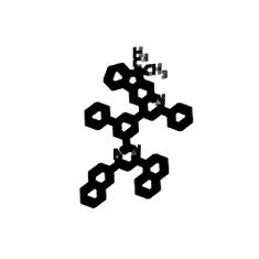 CC1(C)c2ccccc2-c2cc3c(-c4cc(-c5ccccc5)cc(-c5nc(-c6ccc7ccccc7c6)cc(-c6cccc7ccccc67)n5)c4)cc(-c4ccccc4)nc3cc21